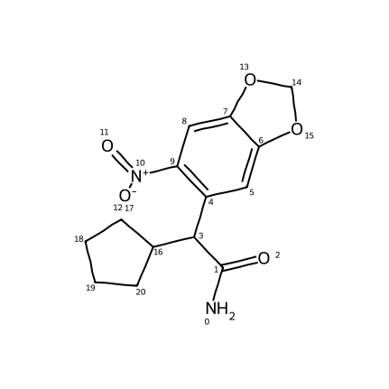 NC(=O)C(c1cc2c(cc1[N+](=O)[O-])OCO2)C1CCCC1